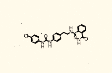 O=C(Nc1ccc(Cl)cc1)Nc1ccc(CCNc2n[nH]c(=O)c3ccccc23)cc1